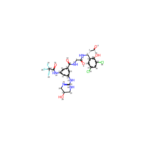 O=CC[C@@H](NC(=O)CNC(=O)c1cc(NC(=O)C(F)(F)F)cc(NC2=NCC(O)CN2)c1)c1cc(Cl)cc(Cl)c1O